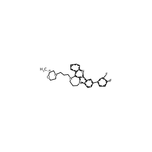 C[C@@H]1CN(CCCN2CCCn3c4ccc(-c5ccc(F)c(F)c5)cc4c4nc5ccccc5c2c43)CCO1